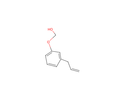 C=CCc1cccc(OCO)c1